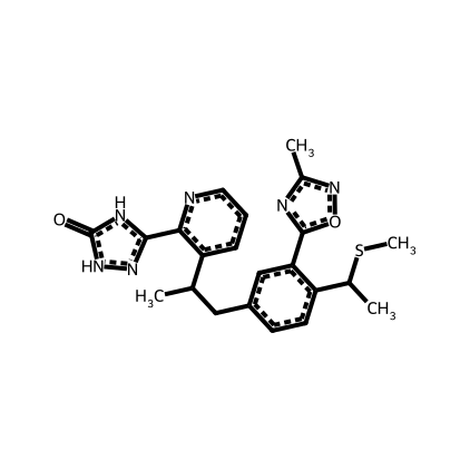 CSC(C)c1ccc(CC(C)c2cccnc2-c2n[nH]c(=O)[nH]2)cc1-c1nc(C)no1